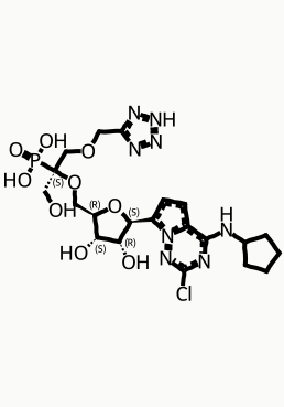 O=P(O)(O)[C@@](CO)(COCc1nn[nH]n1)OC[C@H]1O[C@@H](c2ccc3c(NC4CCCC4)nc(Cl)nn23)[C@H](O)[C@@H]1O